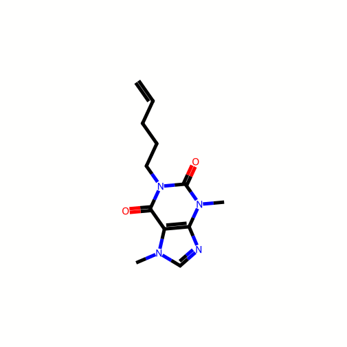 C=CCCCn1c(=O)c2c(ncn2C)n(C)c1=O